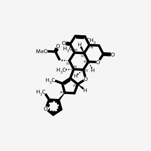 COC(=O)C[C@H]1[C@]2(C)C3=C(C)[C@H](c4ccoc4C)C[C@H]3O[C@@H]2[C@@H]2OC(=O)C[C@]3(C)C=CC(=O)[C@@]1(C)[C@@H]23